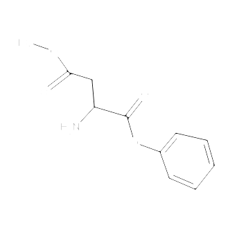 COC(=O)CC(N)C(=O)Oc1ccccc1